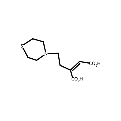 O=C(O)C=C(CCN1CCSCC1)C(=O)O